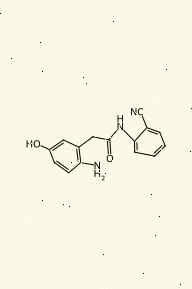 N#Cc1ccccc1NC(=O)Cc1cc(O)ccc1N